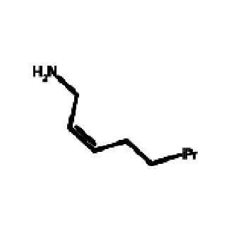 CC(C)CC/C=C\CN